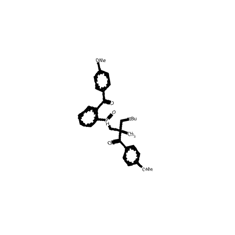 COc1ccc(C(=O)c2ccccc2[PH](=O)CC(C)(CC(C)(C)C)C(=O)c2ccc(OC)cc2)cc1